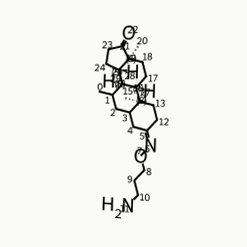 CC1CC2CC(=NOCCCN)CC[C@]2(C)[C@@H]2CC[C@]3(C)C(=O)CC[C@H]3[C@H]12